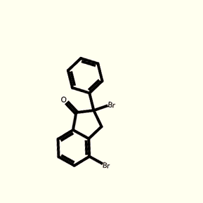 O=C1c2cccc(Br)c2CC1(Br)c1ccccc1